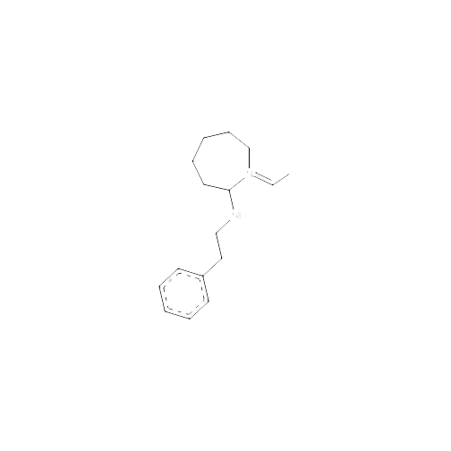 Cl/C=[N+]1\CCCCCC1NCCc1ccccc1.[Cl-]